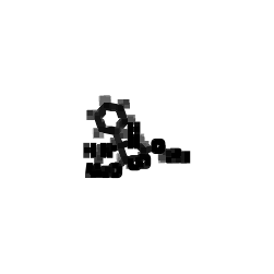 COC(=O)[C@@](N)(NC(=O)OC(C)(C)C)c1ccccc1